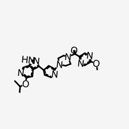 COc1cnc(C(=O)N2CCN(c3cc(-c4n[nH]c5cnc(OC(C)C)cc45)ccn3)CC2)cn1